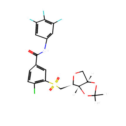 CC1(C)O[C@H]2[C@H](CO[C@@H]2CS(=O)(=O)c2cc(C(=O)Nc3cc(F)c(F)c(F)c3)ccc2Cl)O1